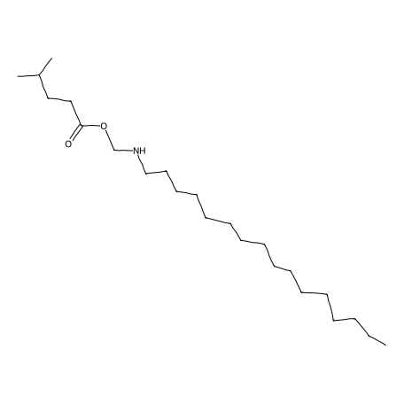 CCCCCCCCCCCCCCCCNCOC(=O)CCC(C)C